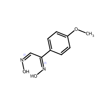 COc1ccc(C(/C=N\O)=N/O)cc1